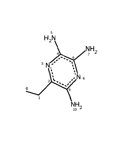 CCc1nc(N)c(N)nc1N